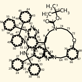 CC(C)(C)OC(=O)N1C/C=C(/c2cc(NC(c3ccccc3)(c3ccccc3)c3ccccc3)nc3c2nnn3C(c2ccccc2)(c2ccccc2)c2ccccc2)c2cnn(c2)Cc2cccc(c2)OCCC1